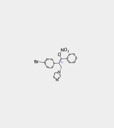 O=[N+]([O-])O/C(=C(/Cn1ccnc1)c1ccc(Br)cc1)c1ccccc1